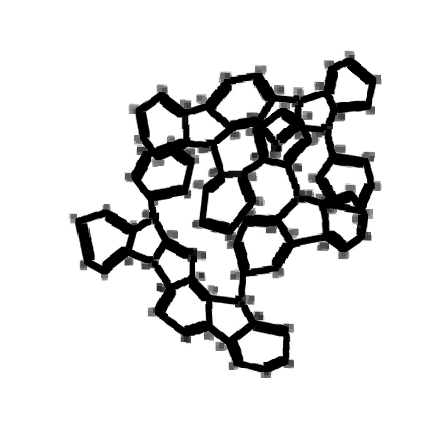 c1ccc(-n2c3ccccc3n3c4ccc5c6ccccc6n(-c6ccc7c(c6)c6ccccc6n7-c6ccccc6-c6ccccc6-n6c7ccccc7c7ccc8c(nc9n(-c%10ccccc%10)c%10ccccc%10n89)c76)c5c4nc23)cc1